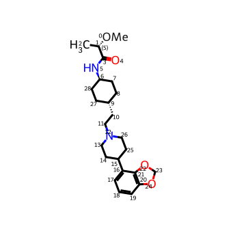 CO[C@@H](C)C(=O)N[C@H]1CC[C@H](CCN2CCC(c3cccc4c3OCO4)CC2)CC1